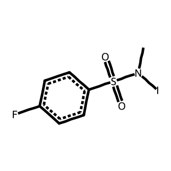 CN(I)S(=O)(=O)c1ccc(F)cc1